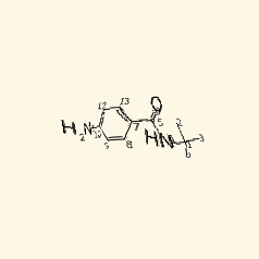 CC(C)(C)NC(=O)c1ccc(N)cc1